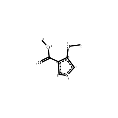 COC(=O)c1[c]scc1OC